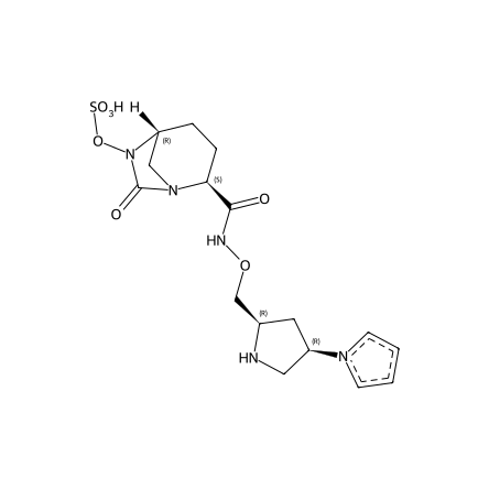 O=C(NOC[C@H]1C[C@@H](n2cccc2)CN1)[C@@H]1CC[C@@H]2CN1C(=O)N2OS(=O)(=O)O